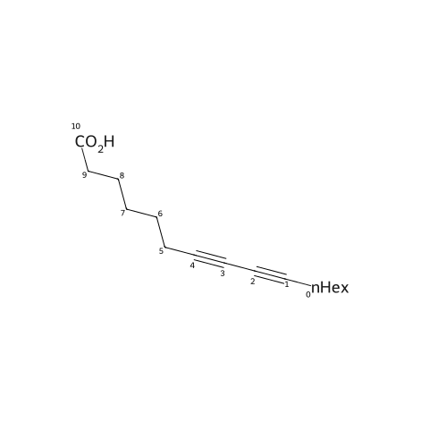 CCCCCCC#CC#CCCCCCC(=O)O